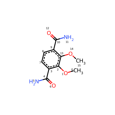 COc1c(C(N)=O)ccc(C(N)=O)c1OC